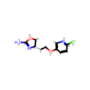 NC1=N[C@@H](CCOc2ccc(Cl)nc2)CO1